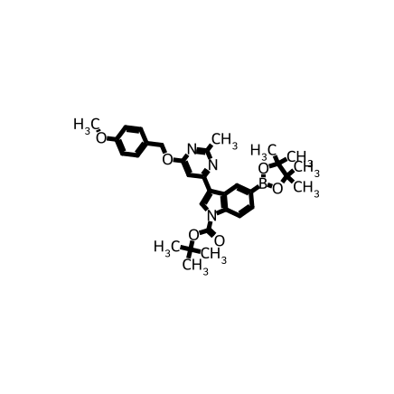 COc1ccc(COc2cc(-c3cn(C(=O)OC(C)(C)C)c4ccc(B5OC(C)(C)C(C)(C)O5)cc34)nc(C)n2)cc1